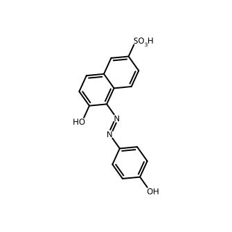 O=S(=O)(O)c1ccc2c(N=Nc3ccc(O)cc3)c(O)ccc2c1